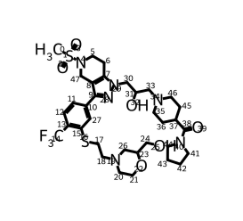 CS(=O)(=O)N1CCc2c(c(-c3ccc(C(F)(F)F)c(SCCN4CCOC(CO)C4)c3)nn2CC(O)CN2CCC(C(=O)N3CCCC3)CC2)C1